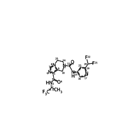 CC(NC(=O)c1ncn2c1CN(C(=O)Nc1ccnc(C(F)F)c1)CC2)C(F)(F)F